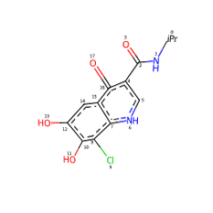 CC(C)NC(=O)c1c[nH]c2c(Cl)c(O)c(O)cc2c1=O